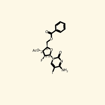 CC(=O)O[C@H]1[C@H](F)[C@H](n2cc(I)c(N)nc2=O)O[C@@H]1COC(=O)c1ccccc1